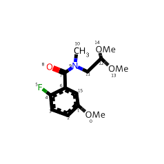 COc1ccc(F)c(C(=O)N(C)CC(OC)OC)c1